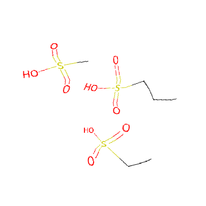 CCCS(=O)(=O)O.CCS(=O)(=O)O.CS(=O)(=O)O